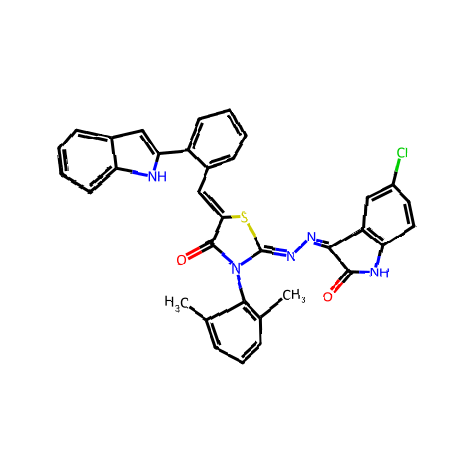 Cc1cccc(C)c1N1C(=O)C(=Cc2ccccc2-c2cc3ccccc3[nH]2)SC1=NN=C1C(=O)Nc2ccc(Cl)cc21